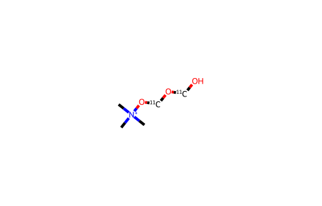 C[N+](C)(C)O[11CH2]O[11CH2]O